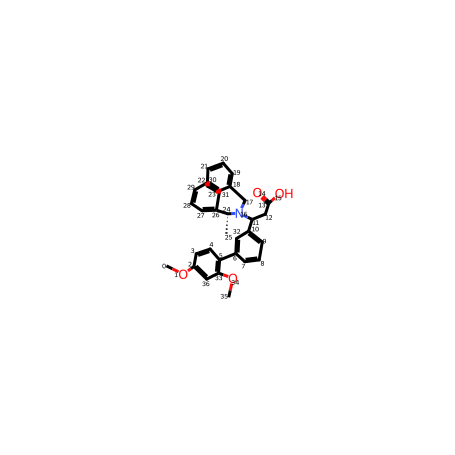 COc1ccc(-c2cccc(C(CC(=O)O)N(Cc3ccccc3)[C@H](C)c3ccccc3)c2)c(OC)c1